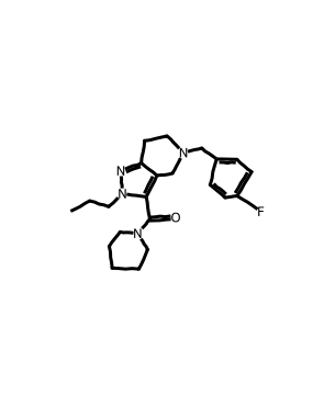 CCCn1nc2c(c1C(=O)N1CCCCC1)CN(Cc1ccc(F)cc1)CC2